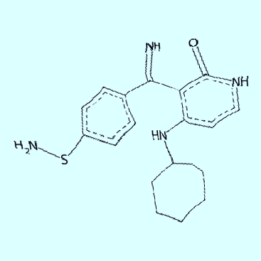 N=C(c1ccc(SN)cc1)c1c(NC2CCCCC2)cc[nH]c1=O